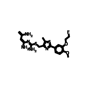 C=C(N)/C=C(N)\N=C(/N)SCc1nc(-c2ccc(OC)c(OCCF)c2)sc1C